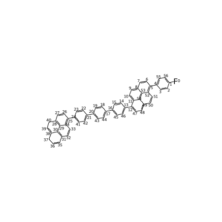 Fc1ccc(-c2ccc3ccc4c(-c5ccc(-c6ccc(-c7ccc(-c8ccc9c%10c%11c(ccc8%10)C=CCC%11=CC9)cc7)cc6)cc5)ccc5ccc2c3c54)cc1